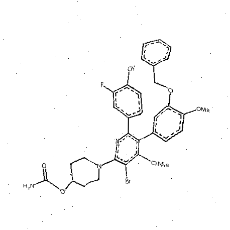 COc1ccc(-c2c(-c3ccc(C#N)c(F)c3)nc(N3CCC(OC(N)=O)CC3)c(Br)c2OC)cc1OCc1ccccc1